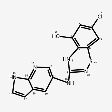 Oc1cc(Cl)cc2c1NC(Nc1cnc3[nH]ccc3c1)=NS2